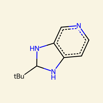 CC(C)(C)C1Nc2ccncc2N1